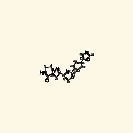 O=C1NCCn2nc(-c3ccnc(-c4ccc(-c5cnco5)cc4)n3)cc21